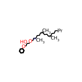 C/C(=C\COCC(O)COc1ccccc1)CCC[C@H](C)CCC[C@H](C)CCCC(C)C